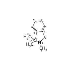 CN1Cc2ccccc2[Si]1(C)C